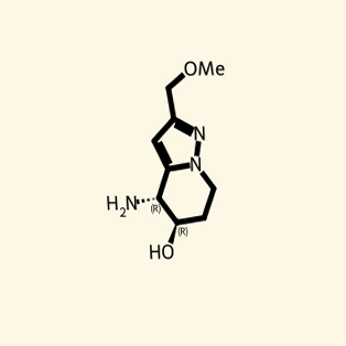 COCc1cc2n(n1)CC[C@@H](O)[C@@H]2N